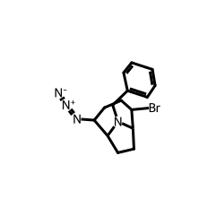 [N-]=[N+]=NC1CCC(Br)C2CCC1N2Cc1ccccc1